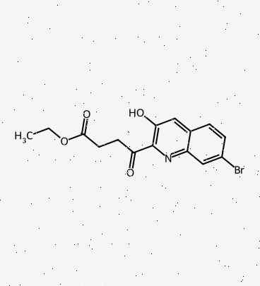 CCOC(=O)CCC(=O)c1nc2cc(Br)ccc2cc1O